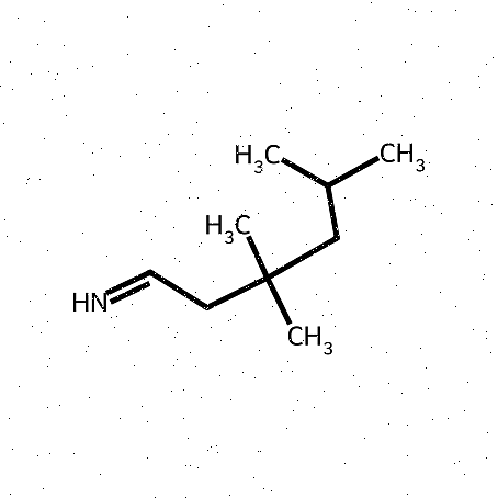 CC(C)CC(C)(C)CC=N